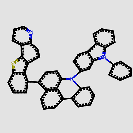 c1ccc(-c2ccccc2N(c2ccc(-c3cccc4sc5c6cccnc6ccc5c34)cc2)c2ccc3c4ccccc4n(-c4ccccc4)c3c2)cc1